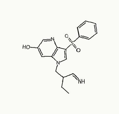 CCC(C=N)Cn1cc(S(=O)(=O)c2ccccc2)c2ncc(O)cc21